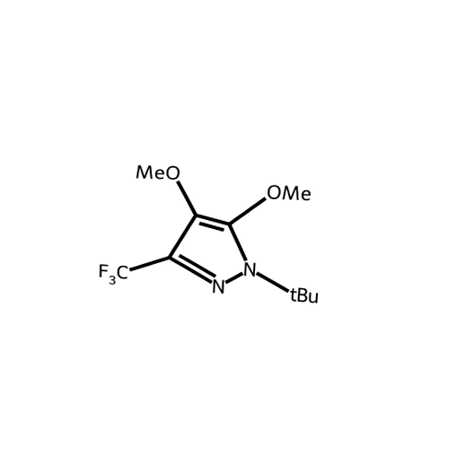 COc1c(C(F)(F)F)nn(C(C)(C)C)c1OC